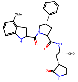 COc1cccc2c1CC(C(=O)N1C[C@H](c3ccccc3)CC1C(=O)N[C@H](C=O)C[C@@H]1CCNC1=O)N2